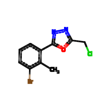 Cc1c(Br)cccc1-c1nnc(CCl)o1